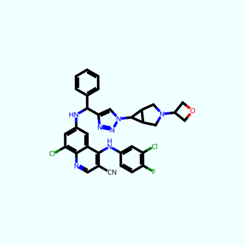 N#Cc1cnc2c(Cl)cc(NC(c3ccccc3)c3cn(C4C5CN(C6COC6)CC54)nn3)cc2c1Nc1ccc(F)c(Cl)c1